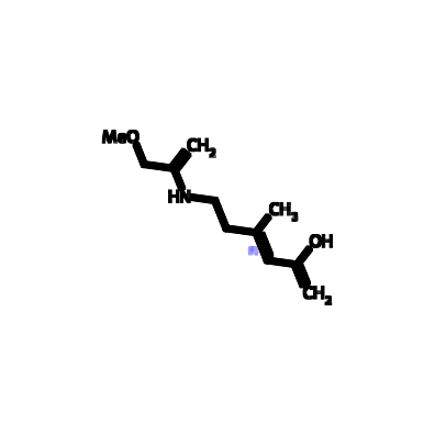 C=C(O)/C=C(\C)CCNC(=C)COC